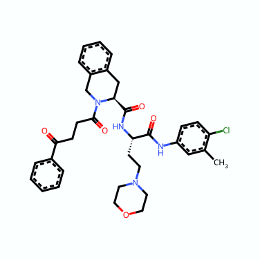 Cc1cc(NC(=O)[C@H](CCN2CCOCC2)NC(=O)[C@@H]2Cc3ccccc3CN2C(=O)CCC(=O)c2ccccc2)ccc1Cl